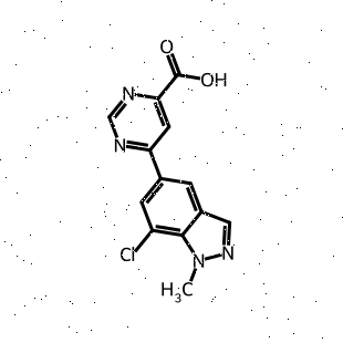 Cn1ncc2cc(-c3cc(C(=O)O)ncn3)cc(Cl)c21